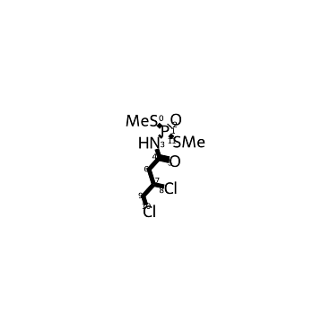 CSP(=O)(NC(=O)CC(Cl)CCl)SC